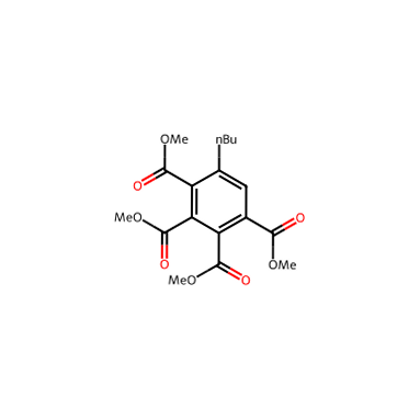 CCCCc1cc(C(=O)OC)c(C(=O)OC)c(C(=O)OC)c1C(=O)OC